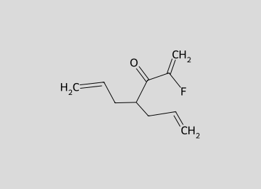 C=CCC(CC=C)C(=O)C(=C)F